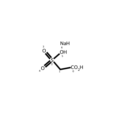 O=C(O)CS(=O)(=O)O.[NaH]